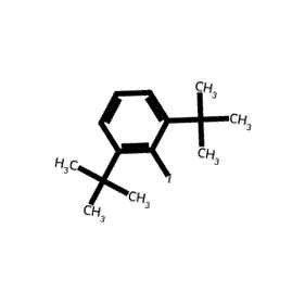 CC(C)(C)c1cccc(C(C)(C)C)c1I